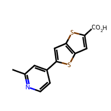 Cc1cc(-c2cc3sc(C(=O)O)cc3s2)ccn1